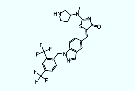 CN(C1=NC(=O)/C(=C/c2ccc3c(cnn3Cc3ccc(C(F)(F)F)cc3C(F)(F)F)c2)S1)C1CCNC1